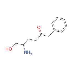 NC(CO)CCC(=O)Cc1ccccc1